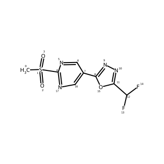 CS(=O)(=O)c1ncc(-c2nnc(C(F)F)o2)cn1